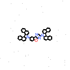 c1ccc2c(c1)ccc1c2c2c3ccccc3ccc2n1-c1ccc2oc3nc(-n4c5ccc6ccccc6c5c5c6ccccc6ccc54)cnc3c2c1